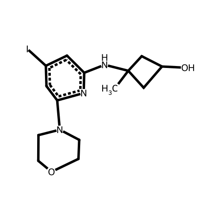 CC1(Nc2cc(I)cc(N3CCOCC3)n2)CC(O)C1